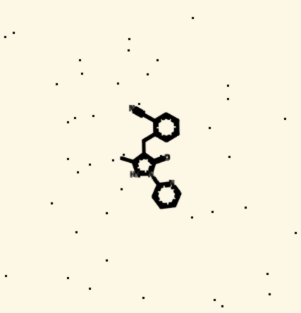 Cc1[nH]n(-c2ccccn2)c(=O)c1Cc1ccccc1C#N